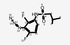 CC(C)CS(=O)(=O)Nc1ccc(F)c(N=[N+]=[N-])c1F